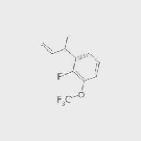 C=C[C](C)c1cccc(OC(F)(F)F)c1F